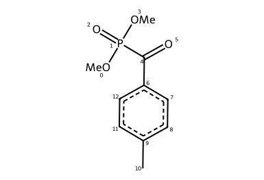 COP(=O)(OC)C(=O)c1ccc(C)cc1